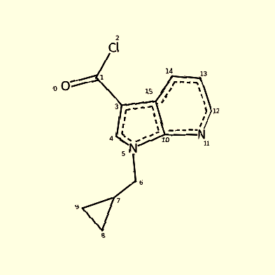 O=C(Cl)c1cn(CC2CC2)c2ncccc12